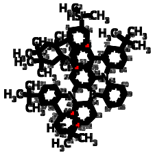 C[SiH](C)c1ccc2c(c1)C1(C)CC(C)(C)C(C)(C)CC1(C)N2c1cc2c3c(c1)N(c1ccc(C(C)(C)C)cc1-c1ccccc1)c1cc(C(C)(C)C)ccc1B3c1ccccc1N2c1ccc(C(C)(C)C)cc1-c1ccccc1